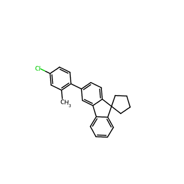 Cc1cc(Cl)ccc1-c1ccc2c(c1)-c1ccccc1C21CCCC1